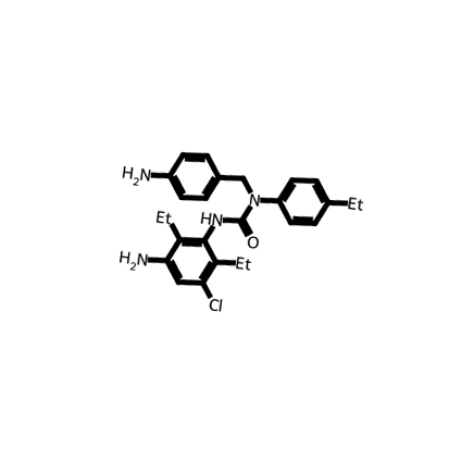 CCc1ccc(N(Cc2ccc(N)cc2)C(=O)Nc2c(CC)c(N)cc(Cl)c2CC)cc1